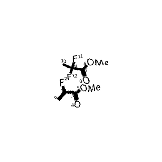 C=C(F)C(=O)OC.COC(=O)C(C)(F)F